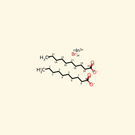 CCCCCCCCCC(=O)[O-].CCCCCCCCCC(=O)[O-].[Br-].[In+3]